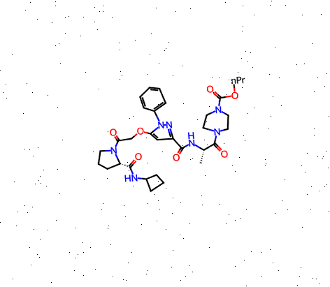 CCCOC(=O)N1CCN(C(=O)[C@H](C)NC(=O)c2cc(OCC(=O)N3CCC[C@H]3C(=O)NC3CCC3)n(-c3ccccc3)n2)CC1